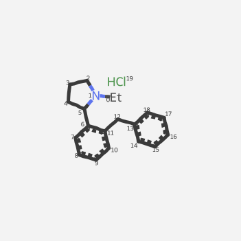 CCN1CCCC1c1ccccc1Cc1ccccc1.Cl